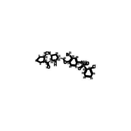 N#C[C@@H]1CCCN1C(=O)[C@@H]1CC[C@H](COc2ccc(NS(=O)(=O)c3ccccc3Cl)cc2Br)N1